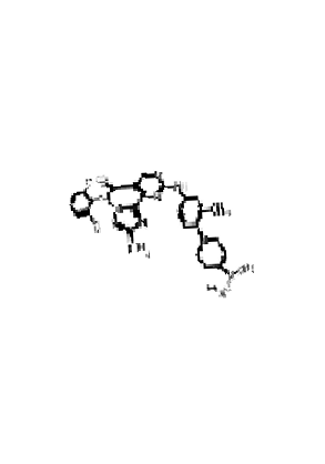 Cc1cn2c(n1)c1nc(Nc3ccc(N4CCC(N(C)C)CC4)c(C)c3)ncc1c(=O)n2-c1c(Cl)cccc1Cl